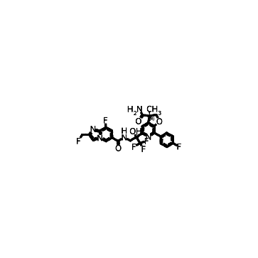 C[C@]1(C(N)=O)COc2c1cc([C@@](O)(CNC(=O)c1cc(F)c3nc(CF)cn3c1)C(F)(F)F)nc2-c1ccc(F)cc1